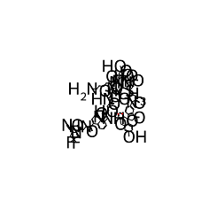 CC(=O)ON(C(=O)CNC(=O)CCC(=O)Nc1cccc2c(C(=O)NCC(=O)N3CC(F)(F)C[C@H]3C#N)ccnc12)C(CCCCN)C(=O)N[C@@H](CC(=O)O)C(=O)NC(CSC1CC(=O)N(c2ccc3c(c2)C(=O)OC32c3ccc(O)cc3Oc3cc(O)ccc32)C1=O)C(=O)O